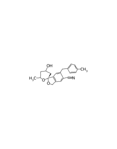 Cc1ccc(Cc2cc3c(cc2C#N)CO[C@@]32CC(O)CC(C)O2)cc1